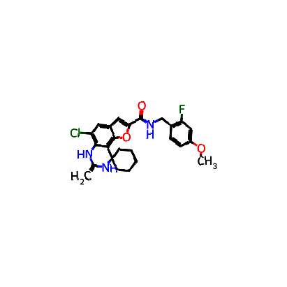 C=C1Nc2c(Cl)cc3cc(C(=O)NCc4ccc(OC)cc4F)oc3c2C2(CCCCC2)N1